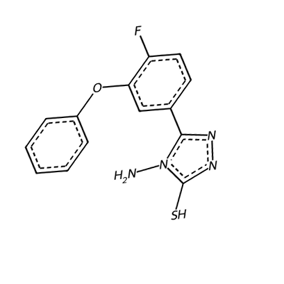 Nn1c(S)nnc1-c1ccc(F)c(Oc2ccccc2)c1